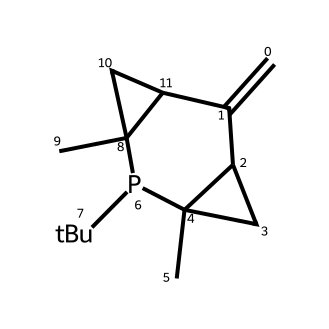 C=C1C2CC2(C)P(C(C)(C)C)C2(C)CC12